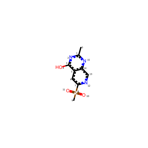 Cc1nc(O)c2cc(S(C)(=O)=O)ncc2n1